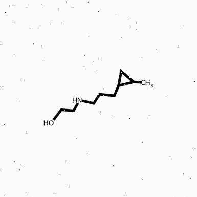 CC1CC1CCCNCCO